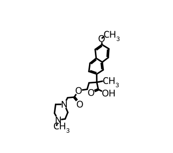 COc1ccc2cc(C(C)(CCOC(=O)CN3CCN(C)CC3)C(=O)O)ccc2c1